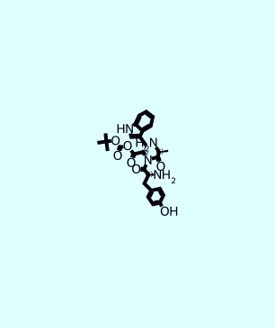 C[C@H](N)C(=O)N(C(=O)[C@@H](N)Cc1ccc(O)cc1)[C@@H](Cc1c[nH]c2ccccc12)C(=O)OC(=O)OC(C)(C)C